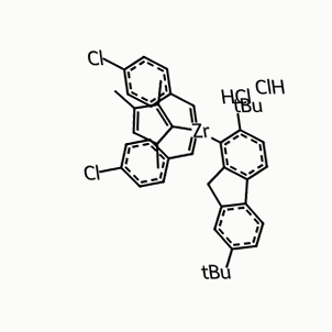 CC1=CC(C)[C]([Zr](=[CH]c2ccc(Cl)cc2)(=[CH]c2ccc(Cl)cc2)[c]2c(C(C)(C)C)ccc3c2Cc2cc(C(C)(C)C)ccc2-3)=C1C.Cl.Cl